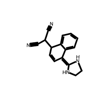 N#CC(C#N)C1C=CC(=C2NCCN2)c2ccccc21